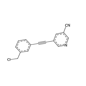 N#Cc1cncc(C#Cc2cccc(CCl)c2)c1